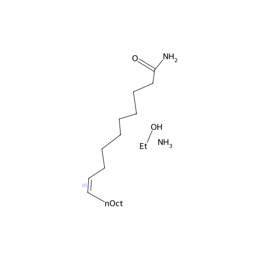 CCCCCCCC/C=C\CCCCCCCC(N)=O.CCO.N